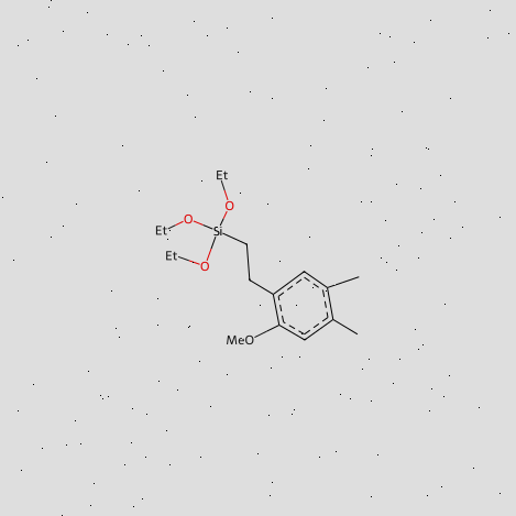 CCO[Si](CCc1cc(C)c(C)cc1OC)(OCC)OCC